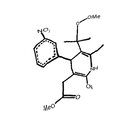 COOC(C)(C)C1=C(C)NC(C#N)=C(CC(=O)OC)C1c1cccc([N+](=O)[O-])c1